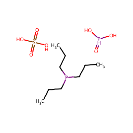 CCCP(CCC)CCC.O=S(=O)(O)O.O=[PH](O)O